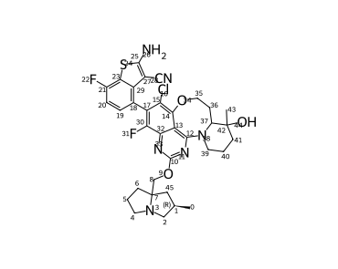 C[C@H]1CN2CCCC2(COc2nc3c4c(c(Cl)c(-c5ccc(F)c6sc(N)c(C#N)c56)c(F)c4n2)OCCC2N3CCCC2(C)O)C1